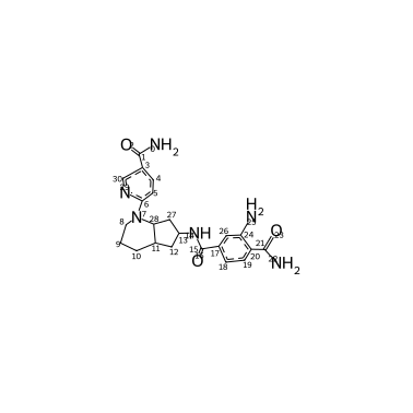 NC(=O)c1ccc(N2CCCC3CC(NC(=O)c4ccc(C(N)=O)c(N)c4)CC32)nc1